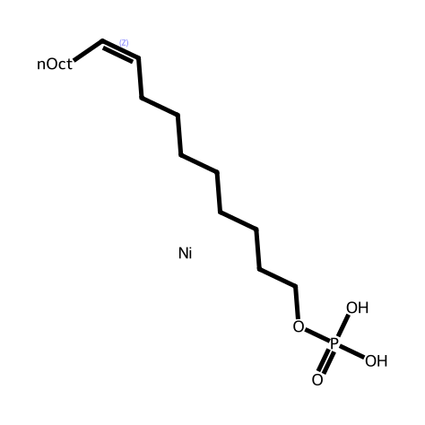 CCCCCCCC/C=C\CCCCCCCCOP(=O)(O)O.[Ni]